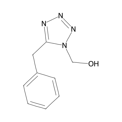 OCn1nnnc1Cc1ccccc1